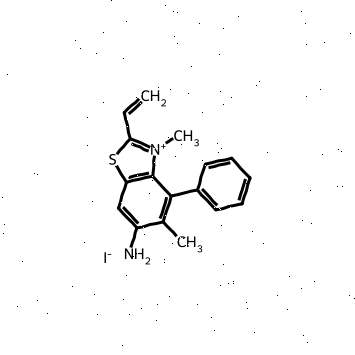 C=Cc1sc2cc(N)c(C)c(-c3ccccc3)c2[n+]1C.[I-]